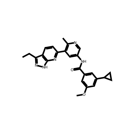 CCc1n[nH]c2nc(-c3cc(NC(=O)c4cc(OC)cc(C5CC5)c4)cnc3C)ccc12